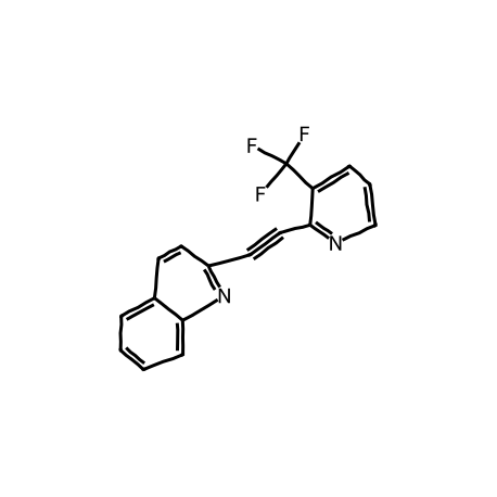 FC(F)(F)c1cccnc1C#Cc1ccc2ccccc2n1